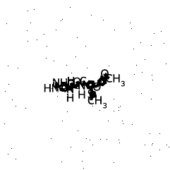 CC(=O)N1CCC(Oc2ccc(C(C)NC(=O)CC(=O)Nc3ccc(C(=N)N)cc3)cc2-c2ccc(C)s2)CC1